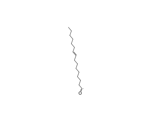 CCCCCCC=CCCCCCCC[C]=O